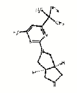 Cc1cc(C(C)(C)N)nc(N2C[C@H]3CNC[C@H]3C2)n1